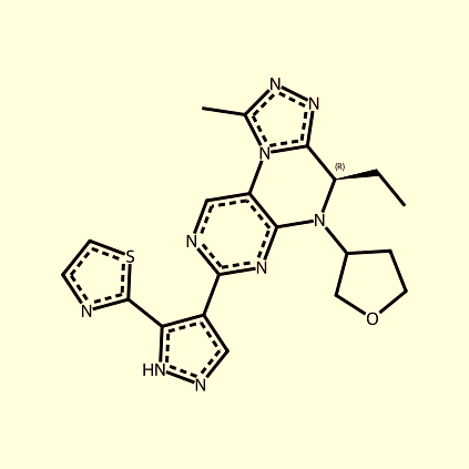 CC[C@@H]1c2nnc(C)n2-c2cnc(-c3cn[nH]c3-c3nccs3)nc2N1C1CCOC1